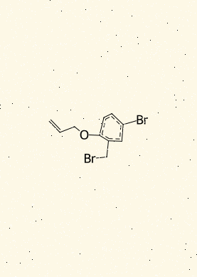 C=CCOc1ccc(Br)cc1CBr